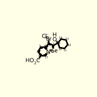 O=C(O)c1ccc2c(Br)c(C3(O)CCCCC3)[se][n+]2c1.[Cl-]